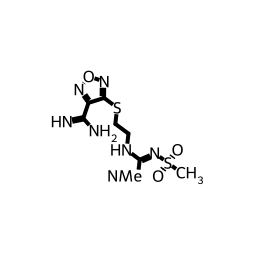 CNC(=NS(C)(=O)=O)NCCSc1nonc1C(=N)N